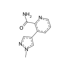 Cn1cc(-c2cccnc2C(N)=O)cn1